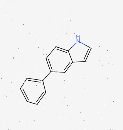 [c]1c[nH]c2ccc(-c3ccccc3)cc12